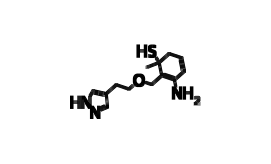 CC1(S)CC=CC(N)=C1COCCc1cn[nH]c1